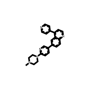 CN1CCN(c2ccc(-c3ccc4nccc(-c5ccncc5)c4c3)cn2)CC1